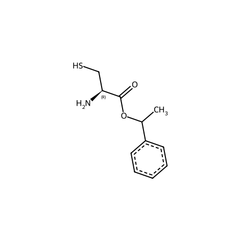 CC(OC(=O)[C@@H](N)CS)c1ccccc1